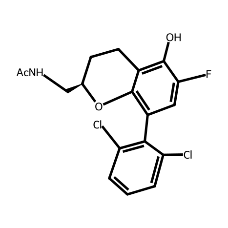 CC(=O)NC[C@H]1CCc2c(O)c(F)cc(-c3c(Cl)cccc3Cl)c2O1